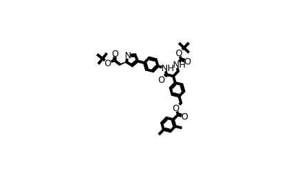 Cc1ccc(C(=O)OCc2ccc(C(CNC(=O)OC(C)(C)C)C(=O)Nc3ccc(C4=C[C@@H](CC(=O)OC(C)(C)C)N=C4)cc3)cc2)c(C)c1